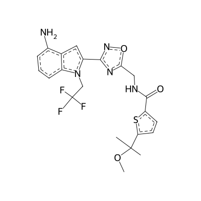 COC(C)(C)c1ccc(C(=O)NCc2nc(-c3cc4c(N)cccc4n3CC(F)(F)F)no2)s1